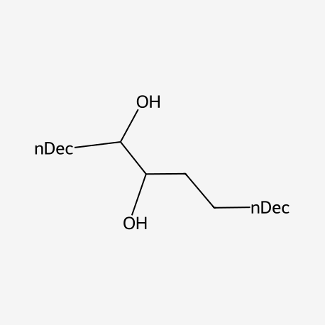 CCCCCCCCCCCCC(O)C(O)CCCCCCCCCC